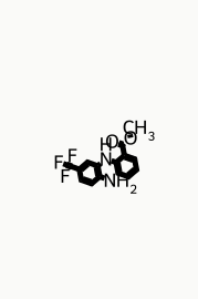 COC(=O)c1ccccc1Nc1cc(C(F)(F)F)ccc1N